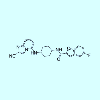 N#Cc1cn2c(NC3CCC(NC(=O)c4cc5cc(F)ccc5o4)CC3)cccc2n1